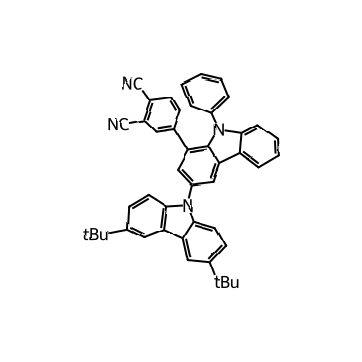 CC(C)(C)c1ccc2c(c1)c1cc(C(C)(C)C)ccc1n2-c1cc(-c2ccc(C#N)c(C#N)c2)c2c(c1)c1ccccc1n2-c1ccccc1